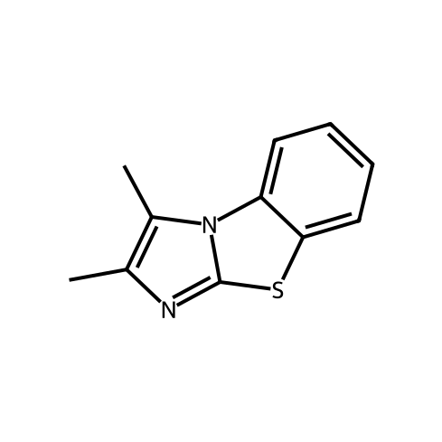 Cc1nc2sc3ccccc3n2c1C